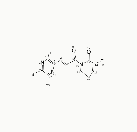 Cc1nc(C)c(/C=C/C(=O)N2CCC=C(Cl)C2=O)nc1C